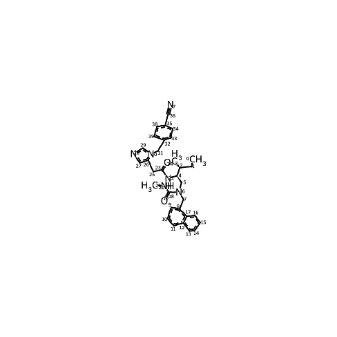 CC[C@H](C)[C@@H](CN(Cc1cccc2ccccc12)C(=O)NC)NC(=O)Cc1cncn1Cc1ccc(C#N)cc1